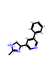 CC1=NC(c2cncc(-c3ccccc3)c2)CN1